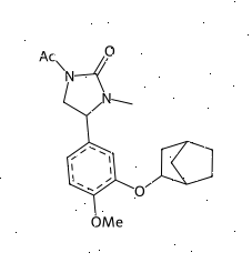 COc1ccc(C2CN(C(C)=O)C(=O)N2C)cc1OC1CC2CCC1C2